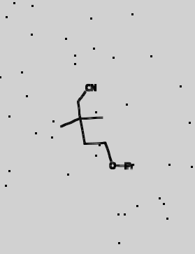 CC(C)OCCC(C)(C)CC#N